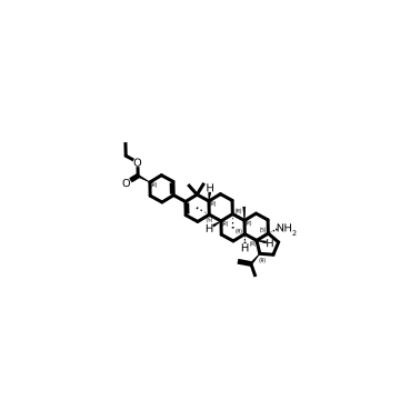 C=C(C)[C@@H]1CC[C@]2(N)CC[C@]3(C)[C@H](CC[C@@H]4[C@@]5(C)CC=C(C6=CC[C@H](C(=O)OCC)CC6)C(C)(C)[C@@H]5CC[C@]43C)[C@@H]12